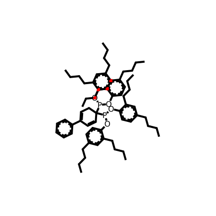 CCCCc1ccc(OP(Oc2ccc(CCCC)cc2CCCC)C2(P(Oc3ccc(CCCC)cc3CCCC)Oc3ccc(CCCC)cc3CCCC)C=CC(c3ccccc3)=CC2)c(CCCC)c1